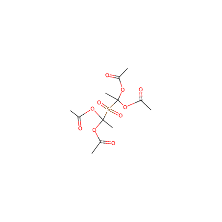 CC(=O)OC(C)(OC(C)=O)S(=O)(=O)C(C)(OC(C)=O)OC(C)=O